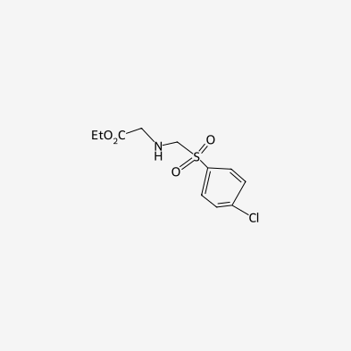 CCOC(=O)CNCS(=O)(=O)c1ccc(Cl)cc1